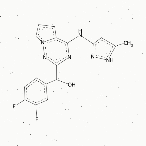 Cc1cc(Nc2nc(C(O)c3ccc(F)c(F)c3)nn3cccc23)n[nH]1